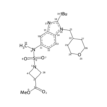 COC(=O)C1CN(S(=O)(=O)N(C)c2ccc3c(c2)nc(C(C)(C)C)n3CC2CCOCC2)C1